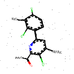 COC(=O)c1nc(-c2ccc(Cl)c(OC)c2Cl)cc(NC(C)=O)c1Cl